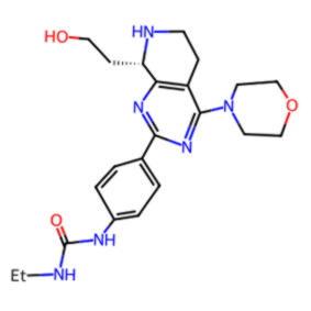 CCNC(=O)Nc1ccc(-c2nc3c(c(N4CCOCC4)n2)CCN[C@H]3CCO)cc1